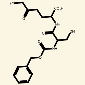 CC(C)CC(=O)CCC(NC(=O)C(CO)NC(=O)OCc1ccccc1)C(=O)O